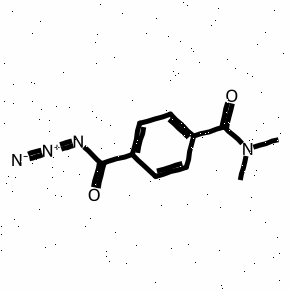 CN(C)C(=O)c1ccc(C(=O)N=[N+]=[N-])cc1